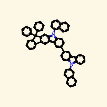 c1ccc(C2(c3ccccc3)c3ccccc3-c3cc4c5cc(-c6ccc7c(c6)c6ccccc6n7-c6ccc7ccccc7c6)ccc5n(-c5cccc6ccccc56)c4cc32)cc1